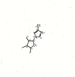 CCc1cn(C2OC(C)C(C)C2C)cn1